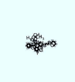 CC(C)(C)OC(=O)NC[C@@]1(c2ccccc2)Cc2c(cc(F)c(Cl)c2-c2c(C(N)=O)cnc(OCCOC3CCCCO3)c2F)O1